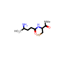 CNC(=O)C(CS)NC(=O)CCC(N)C(=O)O